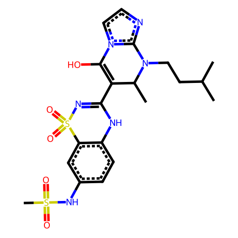 CC(C)CCN1c2nccn2C(O)=C(C2=NS(=O)(=O)c3cc(NS(C)(=O)=O)ccc3N2)C1C